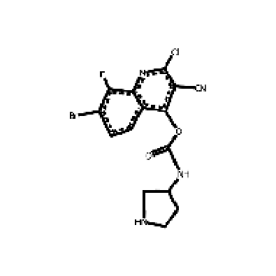 N#Cc1c(Cl)nc2c(F)c(Br)ccc2c1OC(=O)NC1CCNC1